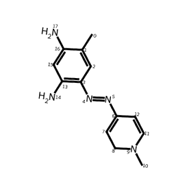 Cc1cc(N=NC2=CCN(C)C=C2)c(N)cc1N